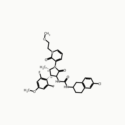 COCCn1cccc(N2C(=O)C(NC(=O)NC3CCc4cc(Cl)ccc4C3)[C@H](c3c(F)cc(OC)cc3F)[C@@H]2C)c1=O